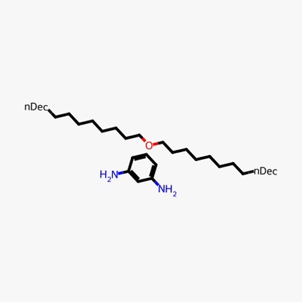 CCCCCCCCCCCCCCCCCCOCCCCCCCCCCCCCCCCCC.Nc1cccc(N)c1